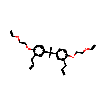 C=CCc1cc(C(C)(C)c2ccc(OCCOC=C)c(CC=C)c2)ccc1OCCOC=C